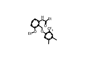 CCOc1cccc(NC(=O)CC)c1COc1cc(C)c(C)cc1C(F)(F)F